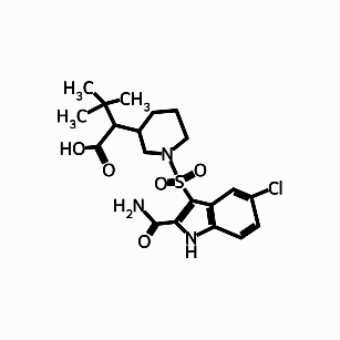 CC(C)(C)C(C(=O)O)C1CCCN(S(=O)(=O)c2c(C(N)=O)[nH]c3ccc(Cl)cc23)C1